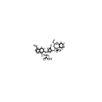 CC[C@@H]1CN(Cc2cc([C@@H](c3ccc4c(nnn4CC)c3C)C(C)(C)C(=O)O)sc2C)S(=O)(=O)c2cnccc2O1